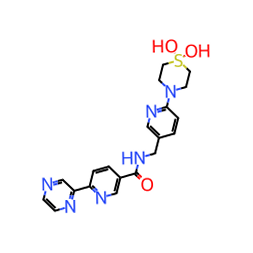 O=C(NCc1ccc(N2CCS(O)(O)CC2)nc1)c1ccc(-c2cnccn2)nc1